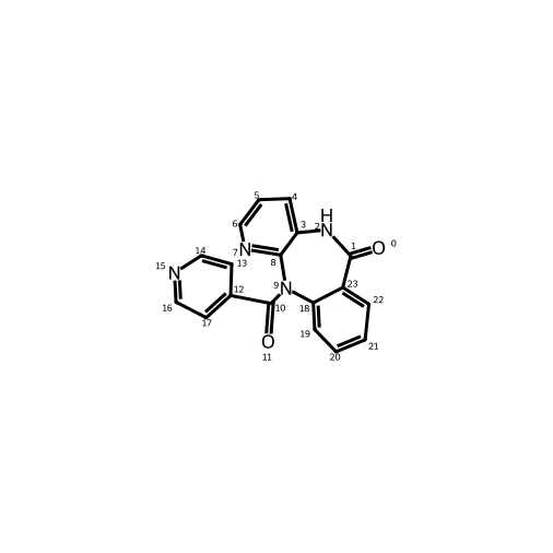 O=C1Nc2cccnc2N(C(=O)c2ccncc2)c2ccccc21